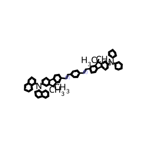 CC1(C)c2cc(/C=C/c3ccc(/C=C/c4ccc5c(c4)C(C)(C)c4cc(N(c6cccc7ccccc67)c6cccc7ccccc67)ccc4-5)cc3)ccc2-c2ccc(N(c3ccccc3)c3ccccc3)cc21